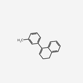 Cc1cccc(C2=CCCc3ccccc32)c1